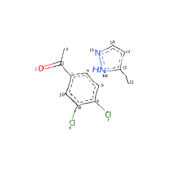 CC(=O)c1ccc(Cl)c(Cl)c1.Cc1ccn[nH]1